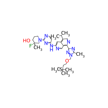 Cc1nc(-c2ncc(C(C)C)c3cc(Nc4ccnc(N5CC[C@@H](O)[C@@](C)(F)C5)n4)ncc23)nn1COCC[Si](C)(C)C